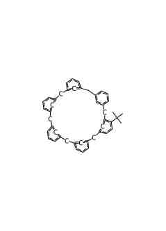 CC(C)(C)c1ccc2cc1Cc1cccc(c1)Cc1cccc(c1)Cc1cccc(c1)Cc1cccc(c1)Cc1cccc(c1)C2